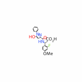 COc1ccc(C(CC(=O)O)NC(=O)c2cc(O)n(-c3ccccc3)n2)c(F)c1